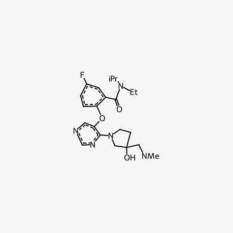 CCN(C(=O)c1cc(F)ccc1Oc1cncnc1N1CCC(O)(CNC)C1)C(C)C